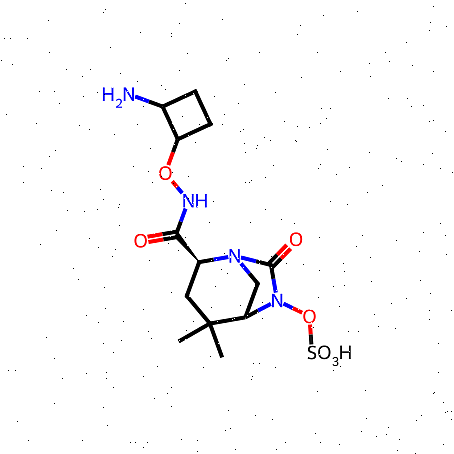 CC1(C)C[C@@H](C(=O)NOC2CCC2N)N2CC1N(OS(=O)(=O)O)C2=O